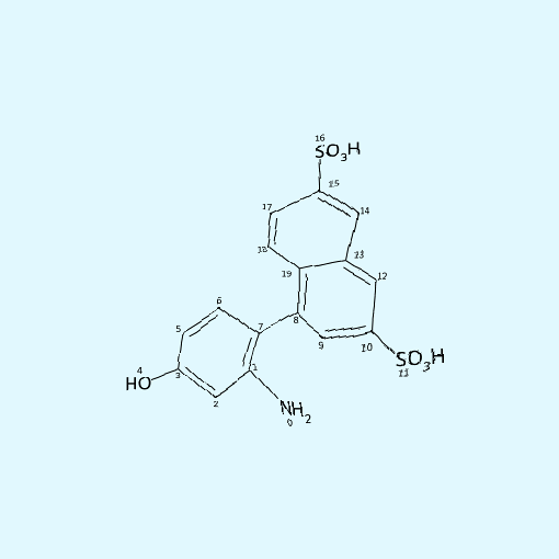 Nc1cc(O)ccc1-c1cc(S(=O)(=O)O)cc2cc(S(=O)(=O)O)ccc12